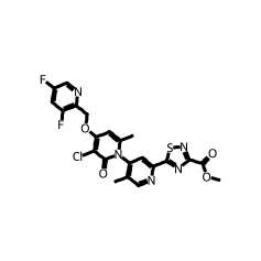 COC(=O)c1nsc(-c2cc(-n3c(C)cc(OCc4ncc(F)cc4F)c(Cl)c3=O)c(C)cn2)n1